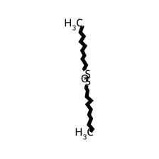 CCCCCCCCCCCSOSCCCCCCCCCCC